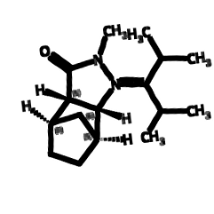 CC(C)C(C(C)C)=[N+]1[C@@H]2[C@H]3CC[C@H](C3)[C@@H]2C(=O)N1C